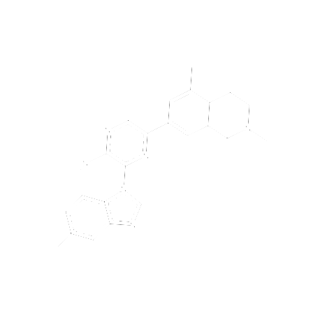 CC1=CC(c2cnc(N)c(-n3cnc4cc(F)ccc43)n2)=CC2CN(C)CCC12